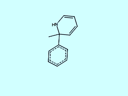 CC1(c2ccccc2)C=CC=CN1